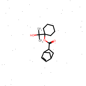 O=C(OC1(C(O)(C(F)(F)F)C(F)(F)F)CCCCC1)C1CC2C=CC1C2